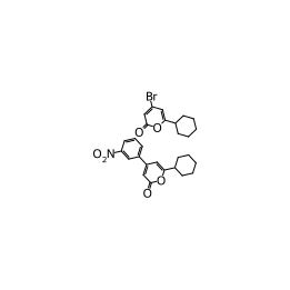 O=c1cc(-c2cccc([N+](=O)[O-])c2)cc(C2CCCCC2)o1.O=c1cc(Br)cc(C2CCCCC2)o1